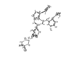 N#Cc1cnn2c1C(Sc1ccccc1N)CC(c1cnn([C@H]3CCNC(=O)C3)c1)=C2